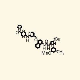 COc1cc(C)cc(-n2nc(C(C)(C)C)cc2NC(=O)Nc2ccc(OCc3ccnc(Nc4cnc(C(=O)N5CCCC5)cn4)c3)c3ccccc23)c1